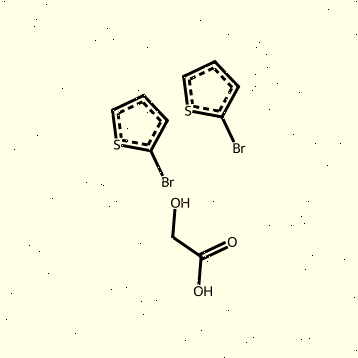 Brc1cccs1.Brc1cccs1.O=C(O)CO